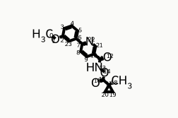 COc1cccc(-c2ccc(C(=O)NOC(=O)C3(C)CC3)cn2)c1